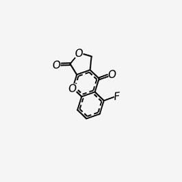 O=C1OCc2c1oc1cccc(F)c1c2=O